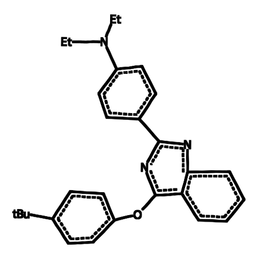 CCN(CC)c1ccc(-c2nc(Oc3ccc(C(C)(C)C)cc3)c3ccccc3n2)cc1